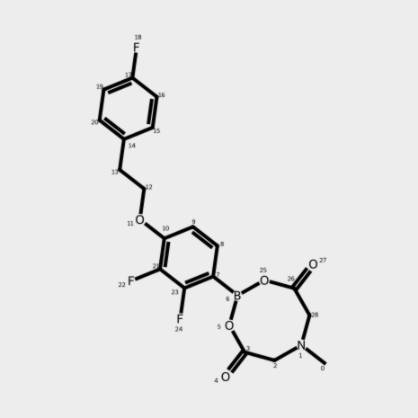 CN1CC(=O)OB(c2ccc(OCCc3ccc(F)cc3)c(F)c2F)OC(=O)C1